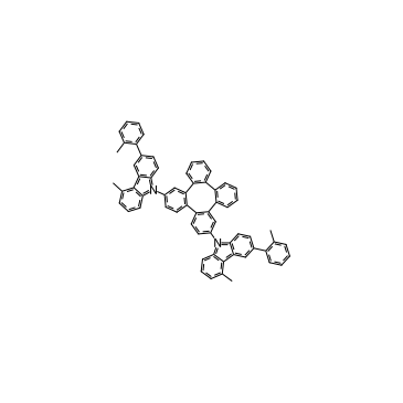 Cc1ccccc1-c1ccc2c(c1)c1c(C)cccc1n2-c1ccc2c(c1)-c1ccccc1-c1ccccc1-c1cc(-n3c4ccc(-c5ccccc5C)cc4c4c(C)cccc43)ccc1-2